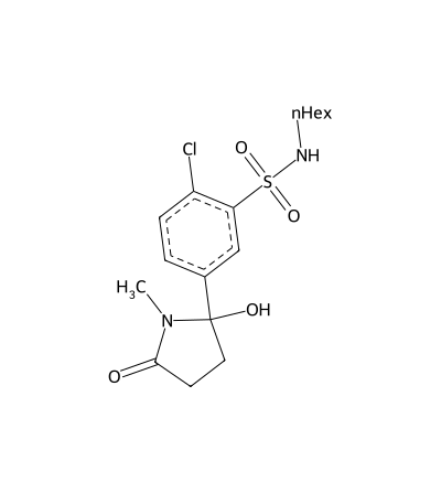 CCCCCCNS(=O)(=O)c1cc(C2(O)CCC(=O)N2C)ccc1Cl